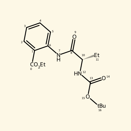 CCOC(=O)c1ccccc1NC(=O)[C@H](CC)NC(=O)OC(C)(C)C